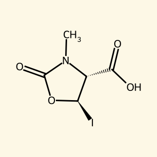 CN1C(=O)O[C@H](I)[C@H]1C(=O)O